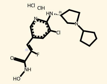 Cl.Cl.O=C(NO)/C(F)=C/c1cnc(N[C@@H]2CCN(C3CCCC3)C2)c(Cl)c1